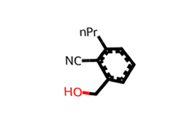 CCCc1cccc(CO)c1C#N